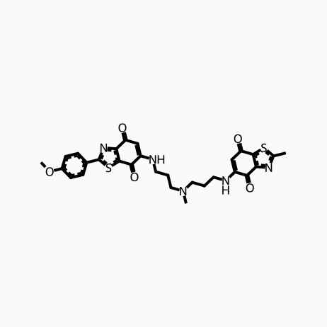 COc1ccc(-c2nc3c(s2)C(=O)C(NCCCN(C)CCCNC2=CC(=O)c4sc(C)nc4C2=O)=CC3=O)cc1